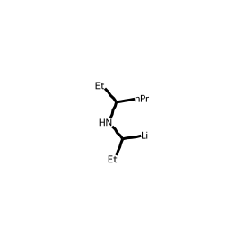 [Li][CH](CC)NC(CC)CCC